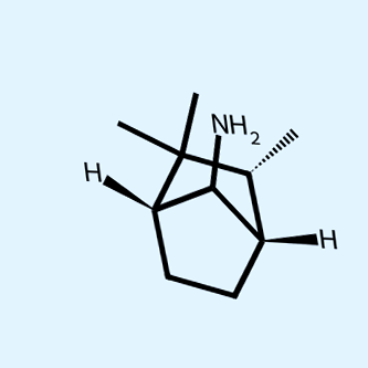 C[C@@H]1[C@@H]2CC[C@@H](C2N)C1(C)C